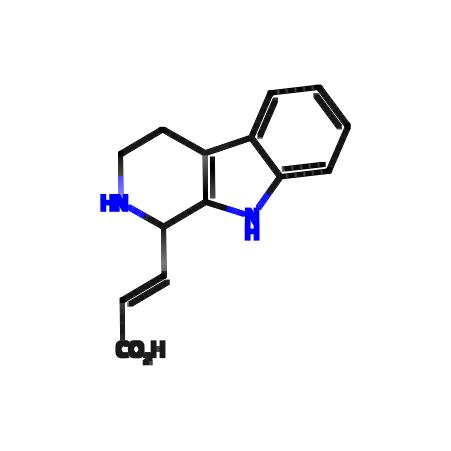 O=C(O)C=CC1NCCc2c1[nH]c1ccccc21